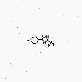 FC(F)(F)c1noc(C2CCNCC2)n1